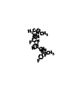 Cc1ccc(C)n1-c1nc2c(F)c(-c3cncc(-c4cnn([C@H](c5ccc(F)cc5)C(C)(F)F)c4)n3)c(F)cn2n1